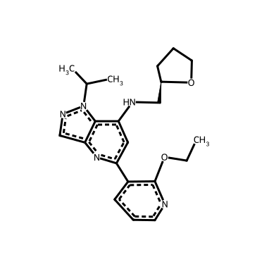 CCOc1ncccc1-c1cc(NC[C@H]2CCCO2)c2c(cnn2C(C)C)n1